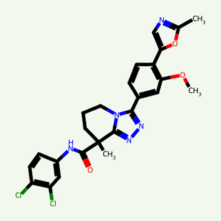 COc1cc(-c2nnc3n2CCCC3(C)C(=O)Nc2ccc(Cl)c(Cl)c2)ccc1-c1cnc(C)o1